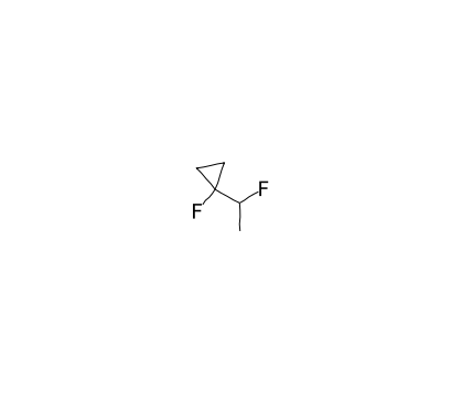 CC(F)C1(F)CC1